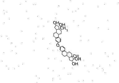 C[C@]12CCC3c4ccc(Oc5ccc6c(c5)CCC5C6CC[C@@]6(C)C5C[C@@H](O)[C@@H]6O)cc4CCC3C1C[C@@H](O)[C@@H]2O